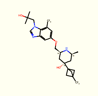 C[C@H]1C[C@@](O)(C23CC(C(F)(F)F)(C2)C3)C[C@@H](COc2cc(C(F)(F)F)c3c(c2)ncn3CC(C)(C)O)N1